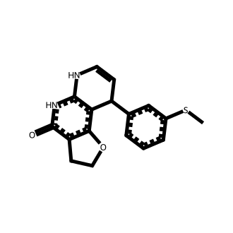 CSc1cccc(C2C=CNc3[nH]c(=O)c4c(c32)OCC4)c1